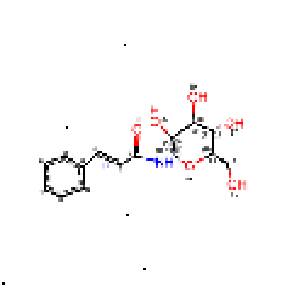 O=C(/C=C/c1ccccc1)N[C@@H]1O[C@H](CO)[C@@H](O)[C@H](O)[C@@H]1O